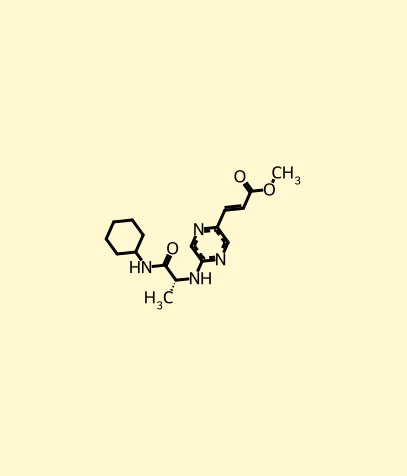 COC(=O)/C=C/c1cnc(N[C@H](C)C(=O)NC2CCCCC2)cn1